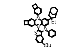 CCC1(c2cc3c4c(c2)N(c2ccccc2)c2c(sc5ccc(C(C)(C)C)cc25)B4c2cc4c(cc2N3c2ccc3c(c2)CC3)CC4)CC2CCCC(C2)C1